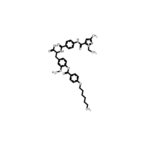 CCCCCCCOc1ccc(C(=O)Oc2ccc(CC(NC(=O)c3ccc(NC(=O)c4cc(C)nn4CC)cc3)C(=O)O)cc2OC)cc1